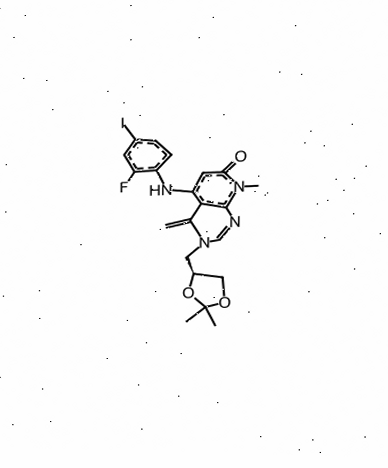 C=C1c2c(Nc3ccc(I)cc3F)cc(=O)n(C)c2N=CN1C[C@H]1COC(C)(C)O1